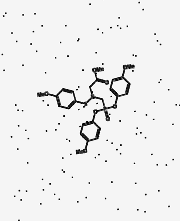 COC(=O)CN(CP(=O)(Oc1ccc(OC)cc1)Oc1ccc(OC)cc1)Sc1ccc(OC)cc1